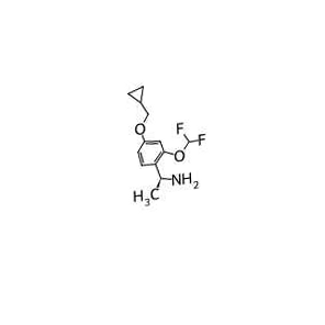 C[C@H](N)c1ccc(OCC2CC2)cc1OC(F)F